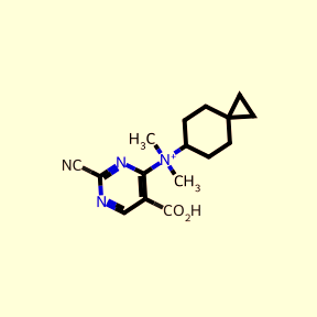 C[N+](C)(c1nc(C#N)ncc1C(=O)O)C1CCC2(CC1)CC2